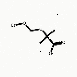 CCOCOC(C)(C)C([O])=O